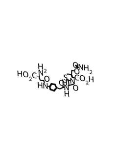 NC(=O)OCC1=C(C(=O)O)N2C(=O)[C@@H](NC(=O)Cc3ccc(NC(=O)C[C@@H](N)C(=O)O)cc3)[C@@H]2SC1